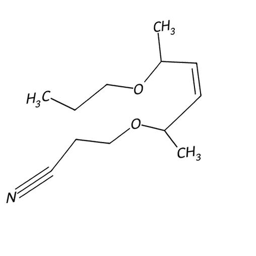 CCCOC(C)/C=C\C(C)OCCC#N